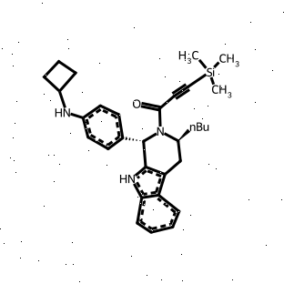 CCCC[C@H]1Cc2c([nH]c3ccccc23)[C@H](c2ccc(NC3CCC3)cc2)N1C(=O)C#C[Si](C)(C)C